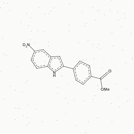 COC(=O)c1ccc(-c2cc3cc([N+](=O)[O-])ccc3[nH]2)cc1